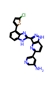 Nc1cncc(-c2ccc3[nH]nc(-c4nc5c(-c6ccc(Cl)s6)cccc5[nH]4)c3n2)c1